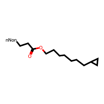 CCCCCCCCCCCC(=O)OCCCCCCCC1CC1